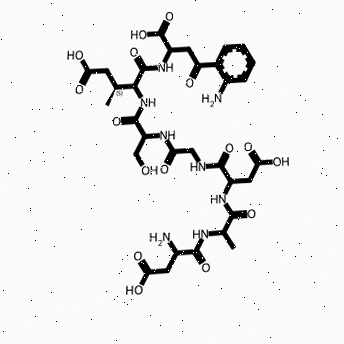 CC(NC(=O)C(N)CC(=O)O)C(=O)NC(CC(=O)O)C(=O)NCC(=O)NC(CO)C(=O)NC(C(=O)NC(CC(=O)c1ccccc1N)C(=O)O)[C@@H](C)CC(=O)O